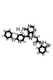 Nc1ncnc2c1c(-c1ccc(Oc3ccccc3)nc1)nn2CC(=O)Nc1ccccc1Br